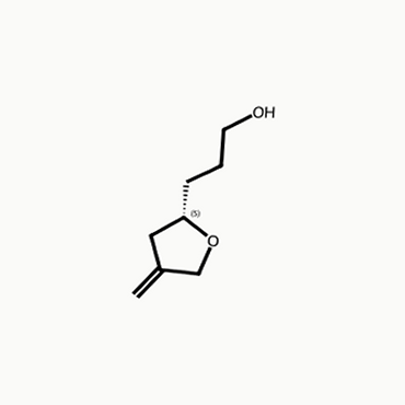 C=C1CO[C@@H](CCCO)C1